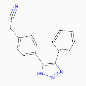 N#CCc1ccc(C2=C(c3ccccc3)N=[N+]N2)cc1